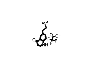 CN(C)CCc1ccc2[nH]ccc(=O)c2c1.O=C(O)C(F)(F)F